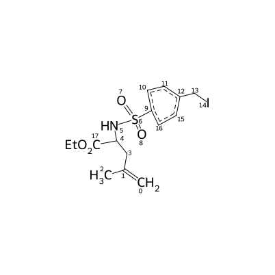 C=C(C)CC(NS(=O)(=O)c1ccc(CI)cc1)C(=O)OCC